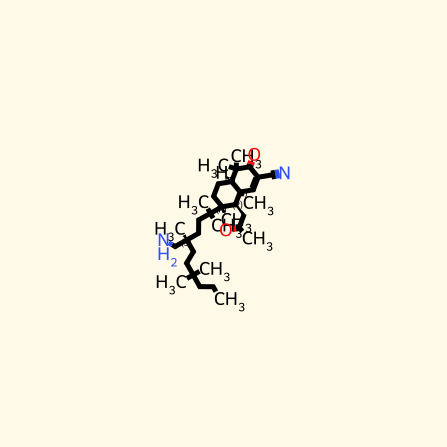 CCCC(C)(C)CC[C@](C)(CN)CCC(C)(C)[C@]1(C)CC[C@H]2C(C)(C)C(=O)C(C#N)=C[C@]2(C)[C@H]1CC(C)=O